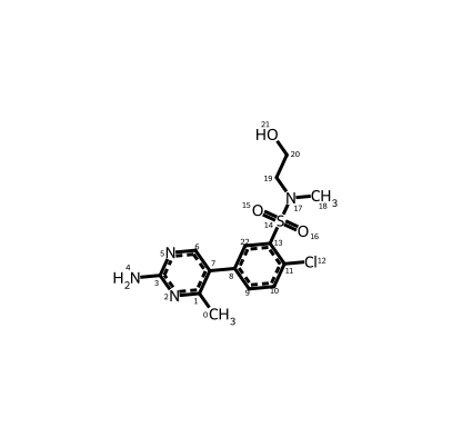 Cc1nc(N)ncc1-c1ccc(Cl)c(S(=O)(=O)N(C)CCO)c1